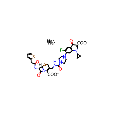 O=C(Cc1cccs1)N[C@@H]1C(=O)N2C(C(=O)[O-])=C(CNC(=O)N3CCN(c4cc5c(cc4F)c(=O)c(C(=O)[O-])cn5C4CC4)CC3)CS[C@H]12.[Na+].[Na+]